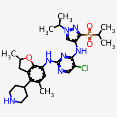 Cc1cc(Nc2ncc(Cl)c(Nc3cn(C(C)C)nc3S(=O)(=O)C(C)C)n2)c2c(c1C1CCNCC1)C[C@@H](C)O2